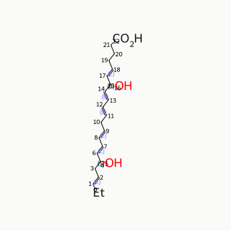 CC/C=C/C[C@H](O)/C=C/C=C/C/C=C/C=C/[C@@H](O)/C=C/CCCC(=O)O